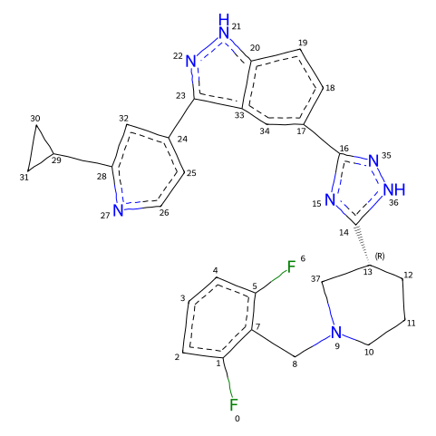 Fc1cccc(F)c1CN1CCC[C@@H](c2nc(-c3ccc4[nH]nc(-c5ccnc(C6CC6)c5)c4c3)n[nH]2)C1